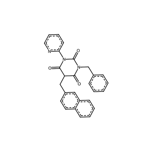 O=C1C(Cc2ccc3ccccc3c2)C(=O)N(c2ccccn2)C(=O)N1Cc1ccccc1